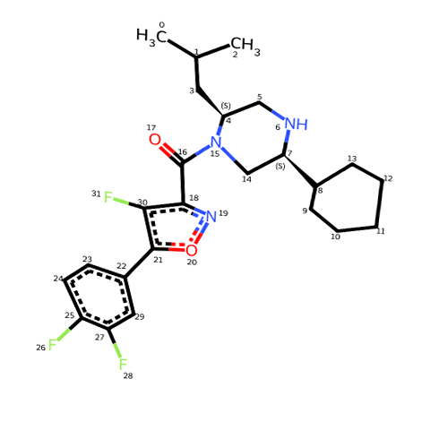 CC(C)C[C@H]1CN[C@@H](C2CCCCC2)CN1C(=O)c1noc(-c2ccc(F)c(F)c2)c1F